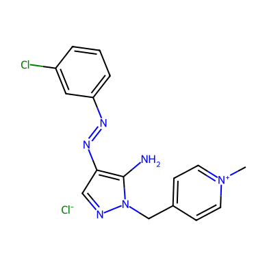 C[n+]1ccc(Cn2ncc(N=Nc3cccc(Cl)c3)c2N)cc1.[Cl-]